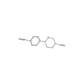 CCCCCCCc1ccc(C2CCC(CCCCCC)CO2)cc1